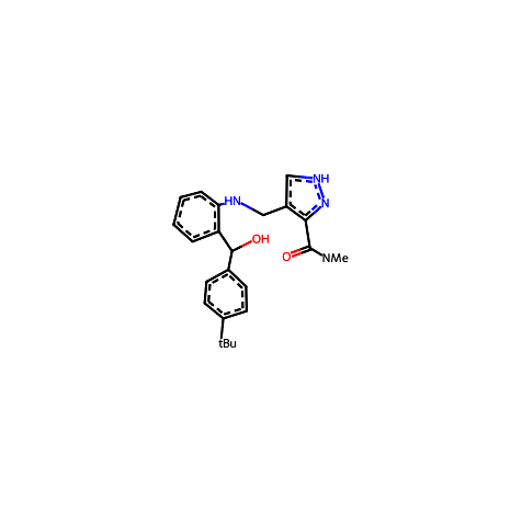 CNC(=O)c1n[nH]cc1CNc1ccccc1C(O)c1ccc(C(C)(C)C)cc1